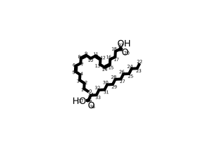 CCCCC/C=C\C/C=C\C/C=C\C/C=C\CCCC(=O)O.CCCCCCCCCCCCCC(=O)O